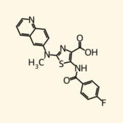 CN(c1ccc2ncccc2c1)c1nc(C(=O)O)c(NC(=O)c2ccc(F)cc2)s1